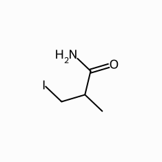 CC(CI)C(N)=O